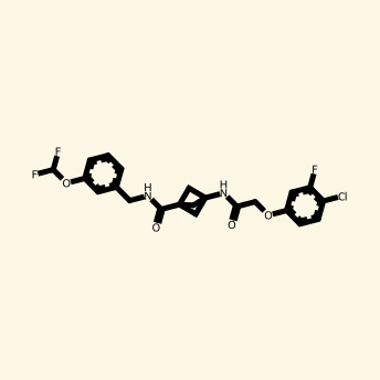 O=C(COc1ccc(Cl)c(F)c1)NC12CC(C(=O)NCc3cccc(OC(F)F)c3)(C1)C2